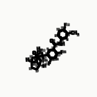 Cc1cc(NC(=O)c2cc(C(F)(F)C(=O)N3[C@@H]4CC[C@H]3C[C@H](O)C4)c(F)cc2F)ccc1F